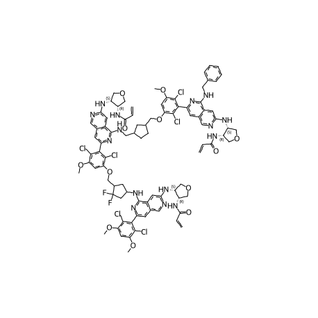 C=CC(=O)N[C@H]1COC[C@H]1Nc1cc2c(NCc3ccccc3)nc(-c3c(Cl)c(OC)cc(OCC4CCC(CNc5nc(-c6c(Cl)c(OC)cc(OCC7CC(Nc8nc(-c9c(Cl)c(OC)cc(OC)c9Cl)cc9cnc(N[C@@H]%10COC[C@@H]%10NC(=O)C=C)cc89)CC7(F)F)c6Cl)cc6cnc(N[C@@H]7COC[C@@H]7NC(=O)C=C)cc56)C4)c3Cl)cc2cn1